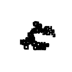 COc1ccc([C@H](Cc2c(Cl)cncc2Cl)OC(=O)c2ccc(CNCC(C)(C(=O)OCCN(C)C)c3ccccc3)s2)cc1OC